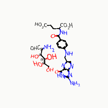 N[C@@H](C=O)[C@@H](O)[C@@H](O)[C@H](O)CO.Nc1nc2ncc(CNc3ccc(C(=O)NC(CCC(=O)O)C(=O)O)cc3)nc2c(=O)[nH]1